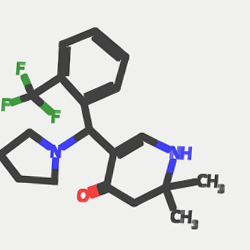 CC1(C)CC(=O)C(C(c2ccccc2C(F)(F)F)N2CCCC2)=CN1